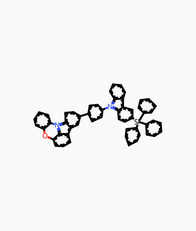 c1ccc([Si](c2ccccc2)(c2ccccc2)c2ccc3c(c2)c2ccccc2n3-c2ccc(-c3ccc4c(c3)c3cccc5c3n4-c3ccccc3O5)cc2)cc1